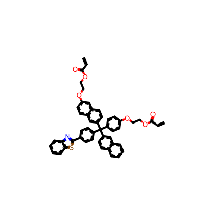 C=CC(=O)OCCOc1ccc(C(c2ccc(-c3nc4ccccc4s3)cc2)(c2ccc3ccccc3c2)c2ccc3cc(OCCOC(=O)C=C)ccc3c2)cc1